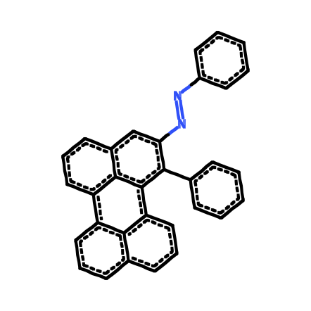 c1ccc(N=Nc2cc3cccc4c5cccc6cccc(c(c2-c2ccccc2)c34)c65)cc1